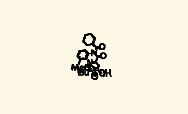 CCC(C)OP(=O)(O)CC(=NOC)C(=O)N(C(=O)C1CCCCC1)c1cccc(C)c1